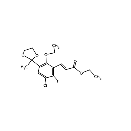 CCOC(=O)C=Cc1c(F)c(Cl)cc(C2(C)OCCO2)c1OCC